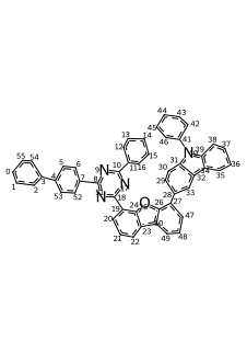 c1ccc(-c2ccc(-c3nc(-c4ccccc4)nc(-c4cccc5c4oc4c(-c6ccc7c(c6)c6ccccc6n7-c6ccccc6)cccc45)n3)cc2)cc1